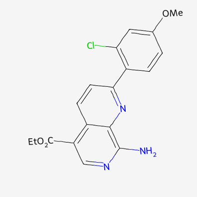 CCOC(=O)c1cnc(N)c2nc(-c3ccc(OC)cc3Cl)ccc12